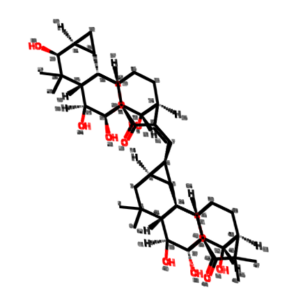 CC1(C)C[C@@H]2C([C@@H]2/C=C2\C(=O)[C@]34[C@@H](O)[C@H]2CC[C@H]3[C@@]23CO[C@]4(O)[C@@H](O)[C@@H]2C(C)(C)[C@@H](O)[C@H]2CC23)[C@]23CO[C@](O)([C@@H](O)[C@H]12)[C@]12C(=O)C(C)(C)[C@H](CC[C@@H]31)[C@@H]2O